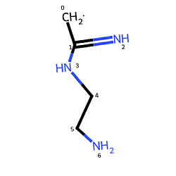 [CH2]C(=N)NCCN